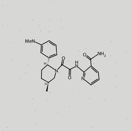 CNc1cccc([C@H]2CC[C@H](C)CN2C(=O)C(=O)Nc2ncccc2C(N)=O)c1